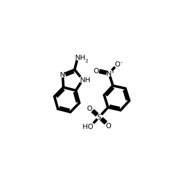 Nc1nc2ccccc2[nH]1.O=[N+]([O-])c1cccc(S(=O)(=O)O)c1